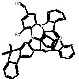 CC1(C)c2ccccc2-c2cc3c4cc5c(cc4n(-c4c(C#N)cc(C=N)cc4-n4c6ccccc6c6ccccc64)c3cc21)oc1ccccc15